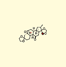 C[C@@H]1C[C@H]2[C@@H]3C[C@@H]4O[C@@]45CC4(CC[C@]5(C)[C@H]3C(=O)C[C@]2(C)[C@]12OCOC21COCO1)OCCO4